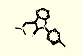 CN(C)/C=C1\C(=O)N(c2ccc(F)cc2)c2ccccc21